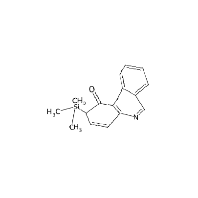 C[Si](C)(C)C1C=Cc2ncc3ccccc3c2C1=O